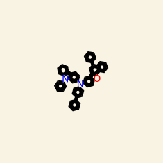 C1=Cc2c(c3ccc(N(c4ccc(-c5ccccc5)cc4)c4ccc5oc6c7ccccc7c(-c7ccccc7)cc6c5c4)cc3n2-c2ccccc2)CC1